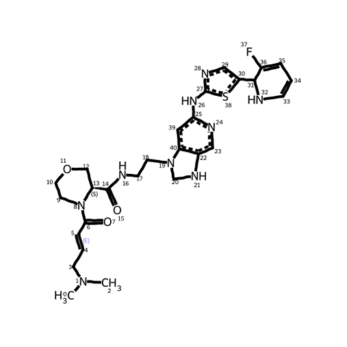 CN(C)C/C=C/C(=O)N1CCOC[C@H]1C(=O)NCCN1CNc2cnc(Nc3ncc(C4NC=CC=C4F)s3)cc21